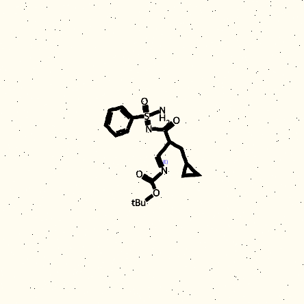 CC(C)(C)OC(=O)/N=C/C(CC1CC1)C(=O)N=S(N)(=O)c1ccccc1